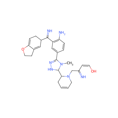 CN1C(c2ccc(N)c(C(=N)C3C=C4CCOC4=CC3)c2)=NNC1C1CC=CCN1CC(=N)/C=C\O